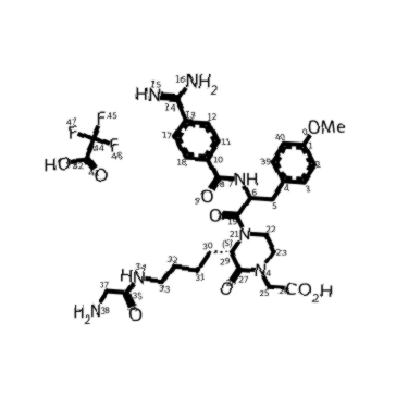 COc1ccc(CC(NC(=O)c2ccc(C(=N)N)cc2)C(=O)N2CCN(CC(=O)O)C(=O)[C@@H]2CCCCNC(=O)CN)cc1.O=C(O)C(F)(F)F